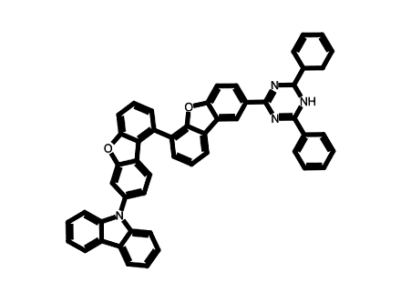 C1=CCC(C2N=C(c3ccc4oc5c(-c6cccc7oc8cc(-n9c%10ccccc%10c%10ccccc%109)ccc8c67)cccc5c4c3)N=C(c3ccccc3)N2)C=C1